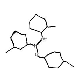 CC1CCC(NN(NC2CCCCC2C)C2CCCC(C)C2)CC1